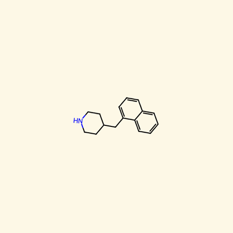 c1ccc2c(CC3CCNCC3)cccc2c1